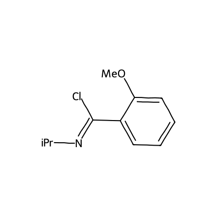 COc1ccccc1C(Cl)=NC(C)C